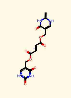 C=C1NC=C(COC(=O)/C=C/C(=O)OCc2c[nH]c(=O)[nH]c2=O)C(=O)N1